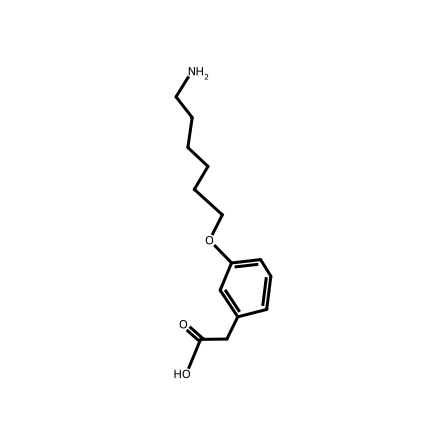 NCCCCCCOc1cccc(CC(=O)O)c1